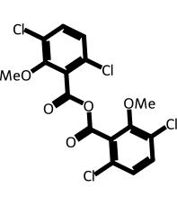 COc1c(Cl)ccc(Cl)c1C(=O)OC(=O)c1c(Cl)ccc(Cl)c1OC